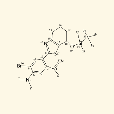 CC(=O)c1cc(N(C)C)c(Br)cc1-c1nc2c(s1)C(O[Si](C)(C)C(C)(C)C)CCC2